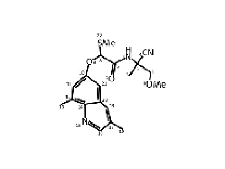 COCC(C)(C#N)NC(=O)C(Oc1cc(C)c2ncc(C)cc2c1)SC